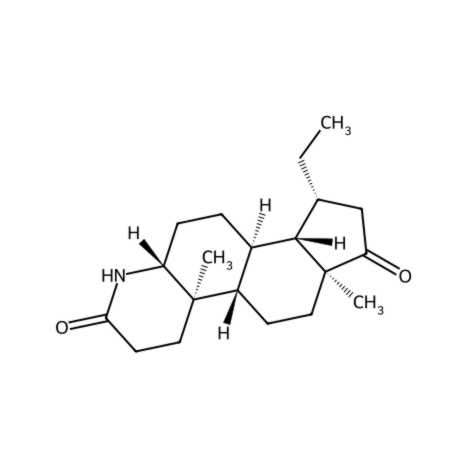 CC[C@@H]1CC(=O)[C@@]2(C)CC[C@H]3[C@@H](CC[C@H]4NC(=O)CC[C@@]43C)[C@H]12